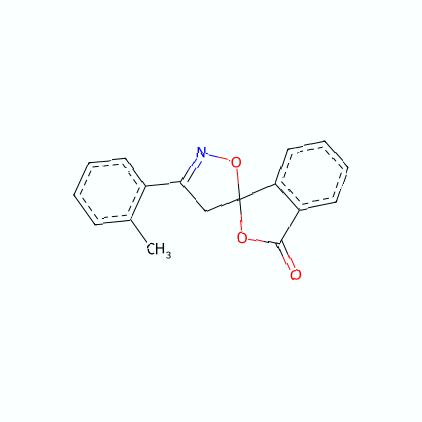 Cc1ccccc1C1=NOC2(C1)OC(=O)c1ccccc12